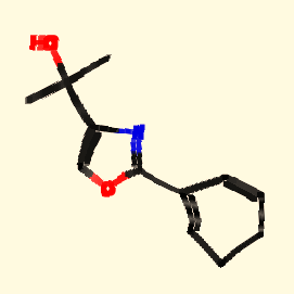 CC(C)(O)c1coc(C2=CCCC=C2)n1